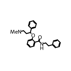 CNCCC(Oc1ccccc1C(=O)NCCc1ccccc1)c1ccccc1